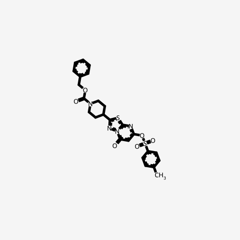 Cc1ccc(S(=O)(=O)Oc2cc(=O)n3nc(C4CCN(C(=O)OCc5ccccc5)CC4)sc3n2)cc1